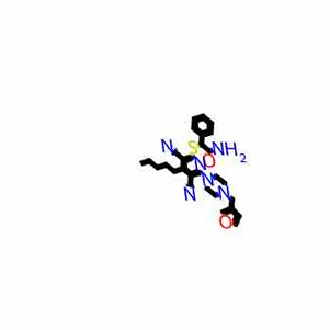 CCCCCc1c(C#N)c(SC(C(N)=O)c2ccccc2)nc(N2CCN(Cc3ccoc3)CC2)c1C#N